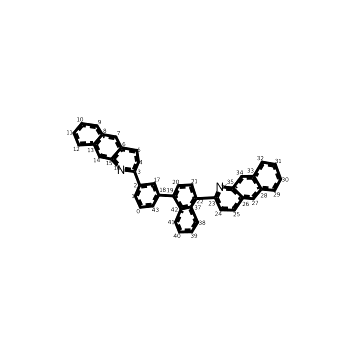 c1cc(-c2ccc3cc4ccccc4cc3n2)cc(-c2ccc(-c3ccc4cc5ccccc5cc4n3)c3ccccc23)c1